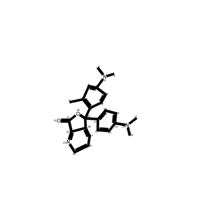 Cc1cc(N(C)C)ccc1C1(c2ccc(N(C)C)cc2)OC(=O)c2ncccc21